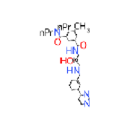 CCCN(CCC)C(=O)c1cc(C)cc(C(=O)NC[C@H](O)CNCc2cccc(-c3ccncn3)c2)c1